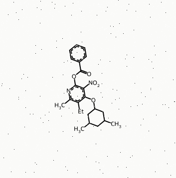 CCc1c(C)nc(OC(=O)c2ccccc2)c([N+](=O)[O-])c1OC1CC(C)CC(C)C1